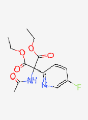 CCOC(=O)C(NC(C)=O)(C(=O)OCC)c1ccc(F)cn1